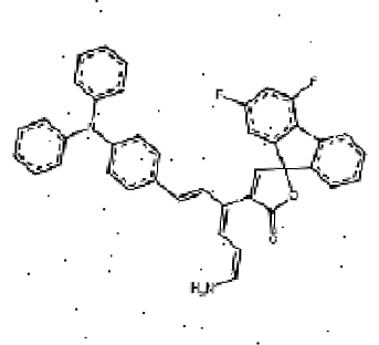 N\C=C/C=C(/C=C/c1ccc(N(c2ccccc2)c2ccccc2)cc1)C1=CC2(OC1=O)c1ccccc1-c1c(F)cc(F)cc12